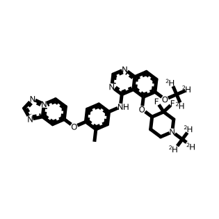 [2H]C([2H])([2H])Oc1ccc2ncnc(Nc3ccc(Oc4ccn5ncnc5c4)c(C)c3)c2c1OC1CCN(C([2H])([2H])[2H])CC1(F)F